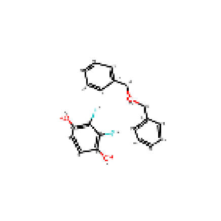 Oc1ccc(O)c(F)c1F.c1ccc(COCc2ccccc2)cc1